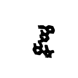 Cc1cccc(-n2nnn(C)c2=O)c1COc1ccc(-c2ccccc2C#N)c(C)n1